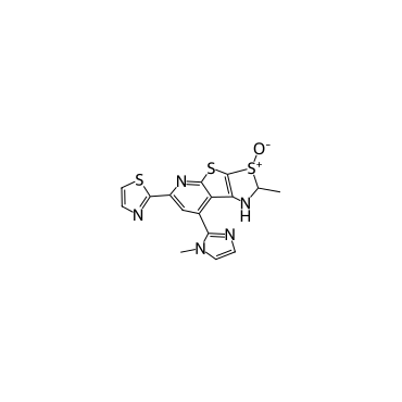 CC1Nc2c(sc3nc(-c4nccs4)cc(-c4nccn4C)c23)[S+]1[O-]